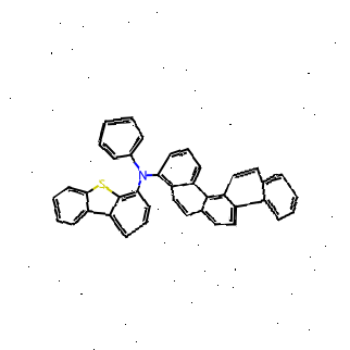 c1ccc(N(c2cccc3c2ccc2ccc4c5ccccc5ccc4c23)c2cccc3c2sc2ccccc23)cc1